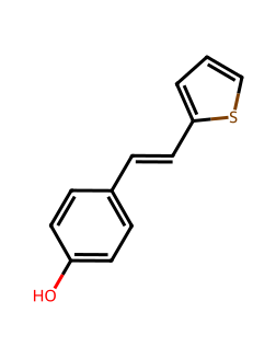 Oc1ccc(C=Cc2cccs2)cc1